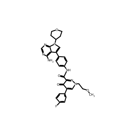 COCCn1cc(-c2ccc(F)cc2)c(=O)c(C(=O)Nc2ccc(-c3cn(C4CCOCC4)c4ncnc(N)c34)cc2)n1